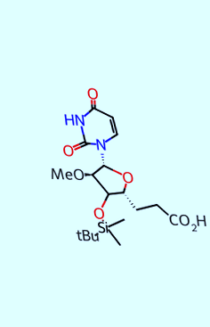 CO[C@@H]1C(O[Si](C)(C)C(C)(C)C)[C@@H](CCC(=O)O)O[C@H]1n1ccc(=O)[nH]c1=O